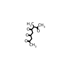 CC(=O)CC(=O)CC(=O)C(C)C(C)=O